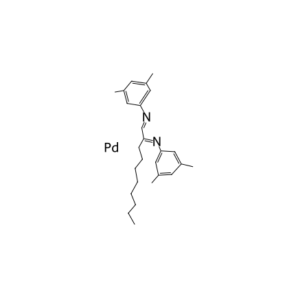 CCCCCCCCC(C=Nc1cc(C)cc(C)c1)=Nc1cc(C)cc(C)c1.[Pd]